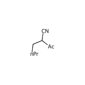 CCCCC(C#N)C(C)=O